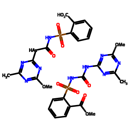 COC(=O)c1ccccc1S(=O)(=O)NC(=O)Nc1nc(C)nc(OC)n1.COc1nc(C)nc([AsH]C(=O)NS(=O)(=O)c2ccccc2C(=O)O)n1